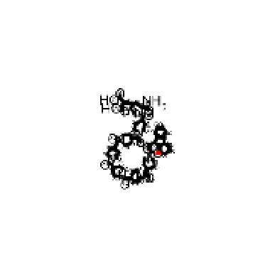 NC(=O)C1CC(C=C(C(=O)O)C(=O)O)CCN1C(=O)C1CCN(C(=O)C2CCN(C(=O)C3CCN(C(=O)C4CCN(C(=O)C5CCN(C(=O)C6CCN(C(=O)OCC7c8ccccc8-c8ccccc87)CC6)CC5)CC4)CC3)CC2)CC1